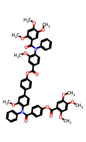 COc1cc(OC)c(C(=O)Oc2ccc(C(=O)N(c3ccccc3)c3ccc(-c4ccc(OC(=O)c5ccc(N(C(=O)c6cc(OC)c(OC)cc6OC)c6ccccc6)c(OC)c5)cc4)cc3OC)cc2)cc1OC